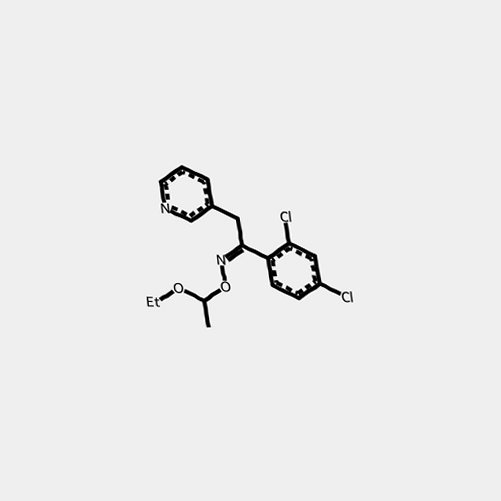 CCOC(C)ON=C(Cc1cccnc1)c1ccc(Cl)cc1Cl